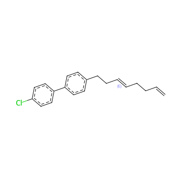 C=CCC/C=C/CCc1ccc(-c2ccc(Cl)cc2)cc1